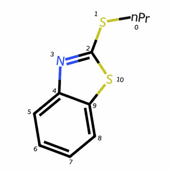 CCCSc1nc2ccccc2s1